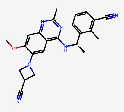 COc1cc2nc(C)nc(N[C@H](C)c3cccc(C#N)c3C)c2cc1N1CC(C#N)C1